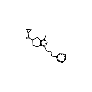 Cc1nn(COCc2ccccc2)c2c1CC(NC1CC1)CC2